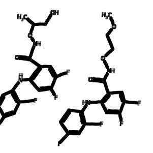 CC(CO)ONC(=O)c1cc(F)c(F)cc1Nc1ccc(I)cc1F.COCCONC(=O)c1cc(F)c(F)cc1Nc1ccc(I)cc1F